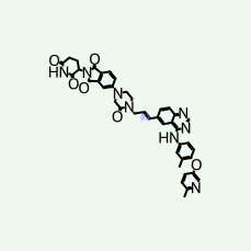 Cc1ccc(Oc2ccc(Nc3ncnc4ccc(/C=C/CN5CCN(c6ccc7c(c6)C(=O)N(C6CCC(=O)NC6=O)C7=O)CC5=O)cc34)cc2C)cn1